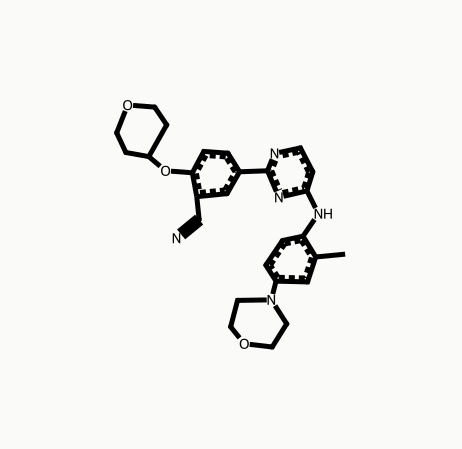 Cc1cc(N2CCOCC2)ccc1Nc1ccnc(-c2ccc(OC3CCOCC3)c(C#N)c2)n1